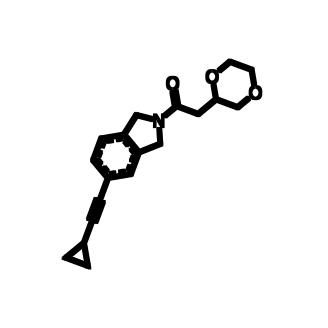 O=C(CC1COCCO1)N1Cc2ccc(C#CC3CC3)cc2C1